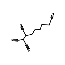 N#CCCCCCC(C#N)C(C#N)C#N